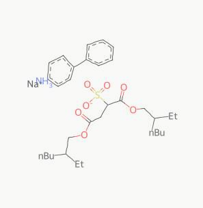 CCCCC(CC)COC(=O)CC(C(=O)OCC(CC)CCCC)S(=O)(=O)[O-].N.[Na+].c1ccc(-c2ccccc2)cc1